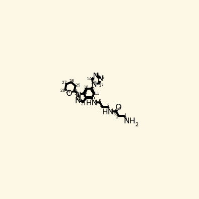 NCCC(=O)NCCCNc1cc(-n2cnnc2)cc2c1cnn2C1CCCCO1